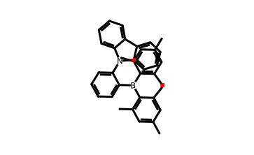 Cc1cc(C)c(B(c2ccccc2-n2c3ccccc3c3ccccc32)c2c(C)cc(C)cc2C)c(C)c1